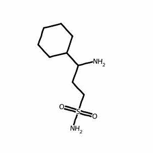 NC(CCS(N)(=O)=O)C1CCCCC1